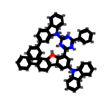 c1ccc(-c2ccc3c(c2)oc2c(-c4nc(-c5ccccc5)nc(-n5c6ccccc6c6ccc(-c7ccccc7)cc65)n4)cc(-n4c5ccccc5c5ccccc54)cc23)cc1